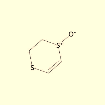 [O-][S+]1C=CSCC1